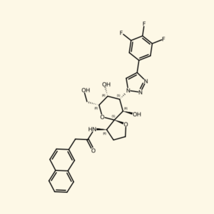 O=C(Cc1ccc2ccccc2c1)N[C@@H]1CCO[C@]12O[C@H](CO)[C@H](O)[C@H](n1cc(-c3cc(F)c(F)c(F)c3)nn1)[C@H]2O